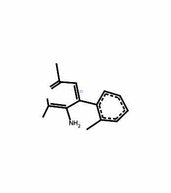 C=C(C)/C=C(\C(N)=C(C)C)c1ccccc1C